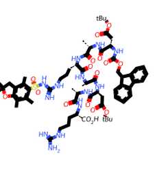 Cc1c(C)c(S(=O)(=O)NC(=N)NCCC[C@H](NC(=O)[C@H](C)NC(=O)[C@H](CC(=O)OC(C)(C)C)NC(=O)OCC2c3ccccc3-c3ccccc32)C(=O)N[C@@H](C)C(=O)N[C@@H](CC(=O)OC(C)(C)C)C(=O)N[C@@H](C)C(=O)N[C@@H](CCCNC(=N)N)C(=O)O)c(C)c2c1OC(C)(C)C2